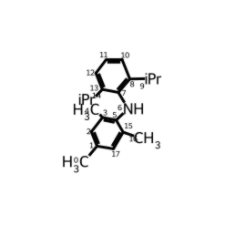 Cc1cc(C)c(Nc2c(C(C)C)cccc2C(C)C)c(C)c1